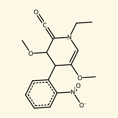 CCN1C=C(OC)C(c2ccccc2[N+](=O)[O-])C(OC)C1=C=O